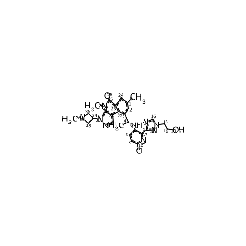 Cc1cc(C(C)Nc2ccc(Cl)nc2-c2ncn(CCO)n2)c2c(c1)c(=O)n(C)c1c2cnn1C1CN(C)C1